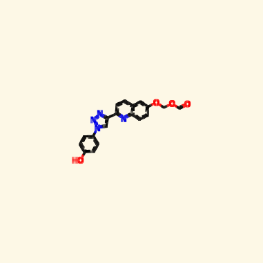 O=COCOc1ccc2nc(-c3cn(-c4ccc(O)cc4)nn3)ccc2c1